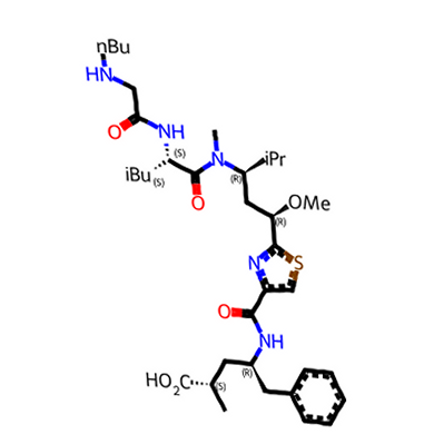 CCCCNCC(=O)N[C@H](C(=O)N(C)[C@H](C[C@@H](OC)c1nc(C(=O)N[C@@H](Cc2ccccc2)C[C@H](C)C(=O)O)cs1)C(C)C)[C@@H](C)CC